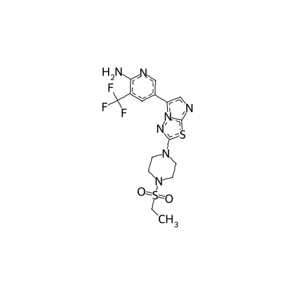 CCS(=O)(=O)N1CCN(c2nn3c(-c4cnc(N)c(C(F)(F)F)c4)cnc3s2)CC1